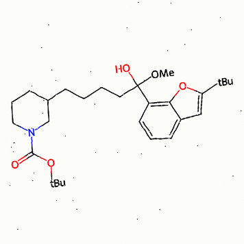 COC(O)(CCCCC1CCCN(C(=O)OC(C)(C)C)C1)c1cccc2cc(C(C)(C)C)oc12